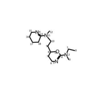 CCN(C)C1=NCCC(CCN(C)C2=NCCCC2)O1